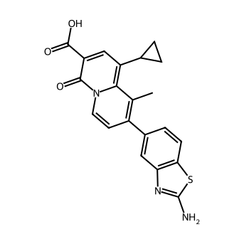 Cc1c(-c2ccc3sc(N)nc3c2)ccn2c(=O)c(C(=O)O)cc(C3CC3)c12